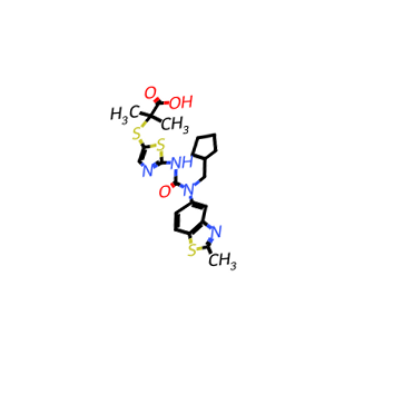 Cc1nc2cc(N(CC3CCCC3)C(=O)Nc3ncc(SC(C)(C)C(=O)O)s3)ccc2s1